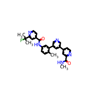 CNC(=O)c1cc(-c2cncc(-c3cc(NC(=O)c4ccnc(C(C)(C)F)c4)ccc3C)c2)ccn1